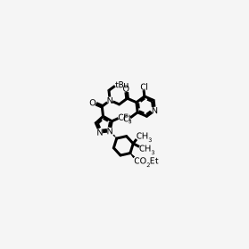 CCOC(=O)[C@H]1CC[C@H](n2ncc(C(=O)N(CC(=O)c3c(Cl)cncc3Cl)CC(C)(C)C)c2C(F)(F)F)CC1(C)C